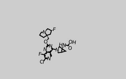 O=C(O)N[C@@]12CC1CN(c1nc(OC[C@@]34CCCN3C[C@H](F)C4)nc3c(F)c(Cl)ncc13)C2